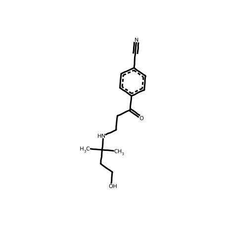 CC(C)(CCO)NCCC(=O)c1ccc(C#N)cc1